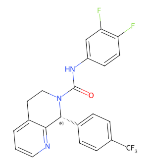 O=C(Nc1ccc(F)c(F)c1)N1CCc2cccnc2[C@H]1c1ccc(C(F)(F)F)cc1